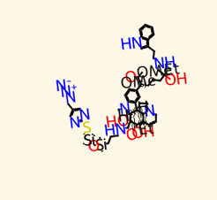 CCC(O)(CCC[C@H](C(=O)OC)c1cc2c(cc1OC)N(C)[C@H]1[C@@](O)(C(=O)NCCC[Si](C)(C)O[Si](C)(C)CSc3ncc(CN=[N+]=[N-])cn3)[C@H](O)[C@]3(CC)C=CCN4CC[C@]21[C@@H]43)CNCCc1c[nH]c2ccccc12